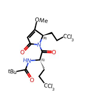 COC1=CC(=O)N(C(=O)[C@H](CCC(Cl)(Cl)Cl)NC(=O)C(C)(C)C)[C@@H]1CCC(Cl)(Cl)Cl